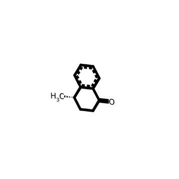 C[C@H]1CCC(=O)c2ccccc21